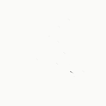 C[C@@H]1Cn2cnc(F)c2CN1c1nc(OC[C@@H]2CCCCN2C)nc2c1CCN(c1cc(F)cc3cccc(Cl)c13)C2